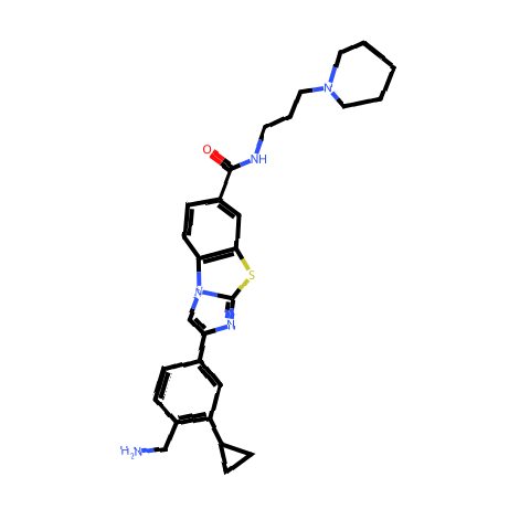 NCc1ccc(-c2cn3c(n2)sc2cc(C(=O)NCCCN4CCCCC4)ccc23)cc1C1CC1